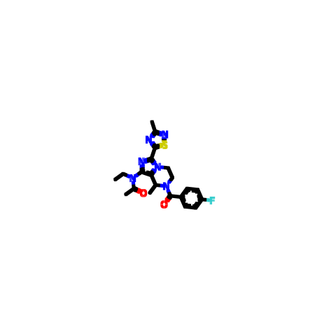 CCN(C(C)=O)c1nc(-c2nc(C)ns2)n2c1C(C)N(C(=O)c1ccc(F)cc1)CC2